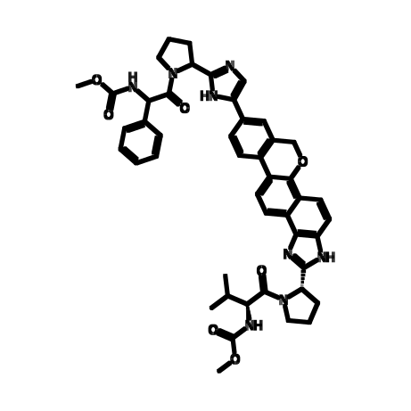 COC(=O)NC(C(=O)N1CCCC1c1ncc(-c2ccc3c(c2)COc2c-3ccc3c2ccc2[nH]c([C@@H]4CCCN4C(=O)[C@@H](NC(=O)OC)C(C)C)nc23)[nH]1)c1ccccc1